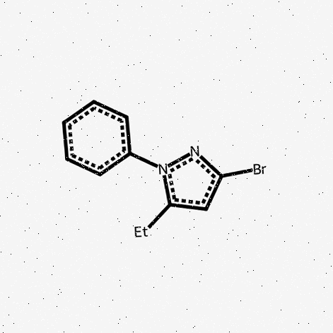 CCc1cc(Br)nn1-c1ccccc1